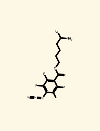 CC(=O)C(N)CCCCOC(=O)c1c(F)c(F)c(N=[N+]=[N-])c(F)c1F